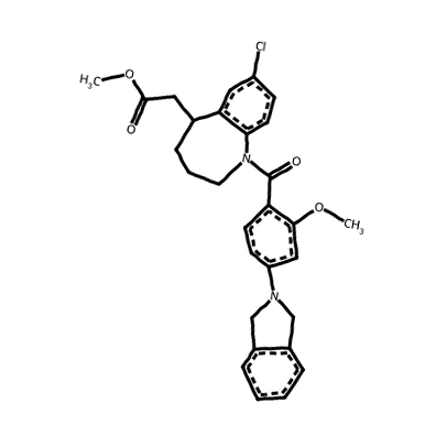 COC(=O)CC1CCCN(C(=O)c2ccc(N3Cc4ccccc4C3)cc2OC)c2ccc(Cl)cc21